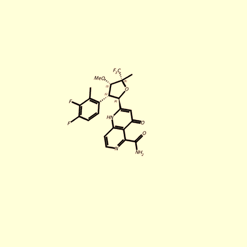 CO[C@H]1[C@@H](c2ccc(F)c(F)c2C)[C@H](c2cc(=O)c3c(C(N)=O)nccc3[nH]2)O[C@@]1(C)C(F)(F)F